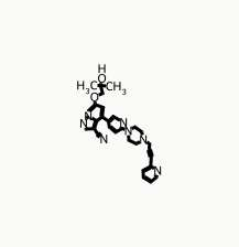 CC(C)(O)COc1cc(-c2ccc(N3CCN(CC#Cc4ccccn4)CC3)nc2)c2c(C#N)cnn2c1